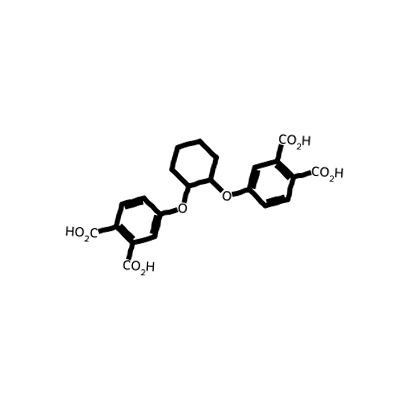 O=C(O)c1ccc(OC2CCCCC2Oc2ccc(C(=O)O)c(C(=O)O)c2)cc1C(=O)O